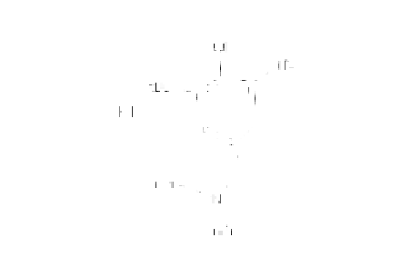 CCCN(CCC)Cc1cc(C(C)(C)C)c(O)c(C(C)(C)C)c1.Cl